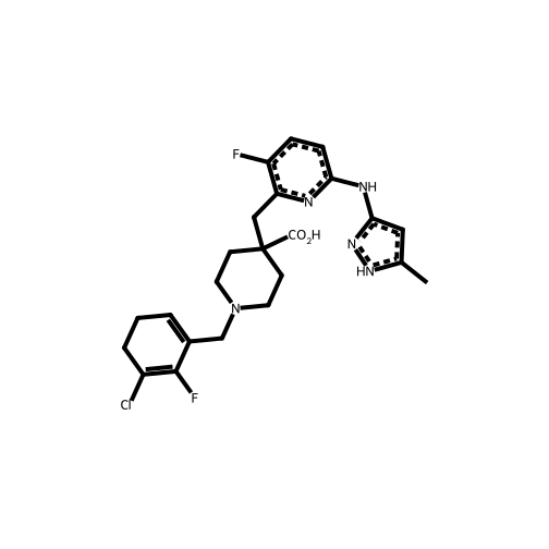 Cc1cc(Nc2ccc(F)c(CC3(C(=O)O)CCN(CC4=CCCC(Cl)=C4F)CC3)n2)n[nH]1